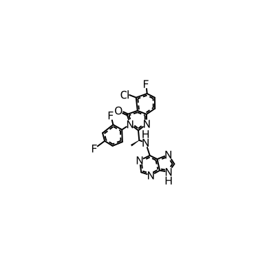 C[C@H](Nc1ncnc2[nH]cnc12)c1nc2ccc(F)c(Cl)c2c(=O)n1-c1ccc(F)cc1F